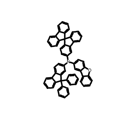 c1ccc(C2(c3ccccc3)c3ccccc3-c3ccc(N(c4ccc5c(c4)-c4ccccc4C54c5ccccc5-c5ccccc54)c4ccc5oc6ccccc6c5c4)cc32)cc1